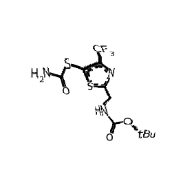 CC(C)(C)OC(=O)NCc1nc(C(F)(F)F)c(SC(N)=O)s1